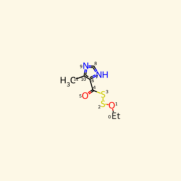 CCOSSC(=O)c1[nH]cnc1C